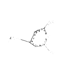 CSc1cc(C(C)(C)C)[s+]c(C(C)(C)C)c1.[I-]